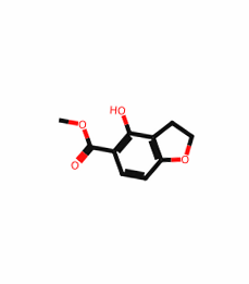 COC(=O)c1ccc2c(c1O)CCO2